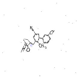 Cc1c(/C=C2\CCCNC2=O)cc(C#N)cc1-c1cccc(Cl)c1